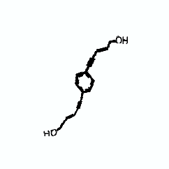 OCC=CC#Cc1ccc(C#CC=CCO)cc1